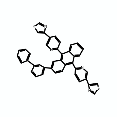 c1ccc(-c2cccc(-c3ccc4c(-c5ccc(-c6cscn6)cn5)c5ccccc5c(-c5ccc(-c6cscn6)cn5)c4c3)c2)cc1